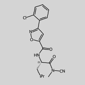 CC(C)C[C@H](NC(=O)c1cc(-c2ccccc2Cl)no1)C(=O)N(C)C#N